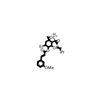 CCC1CC2(CO2)C([C@@]2(C)O[C@@H]2CCC(C)C)C(OC)C1OC(=O)C=Cc1cccc(OC)c1